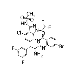 CS(=O)(=O)Nc1nn(CC(F)F)c2c(-n3c(C(N)Cc4cc(F)cc(F)c4)nc4cc(Br)ccc4c3=O)ccc(Cl)c12